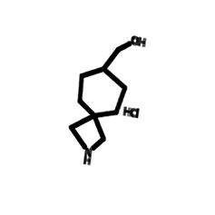 Cl.OCC1CCC2(CC1)CNC2